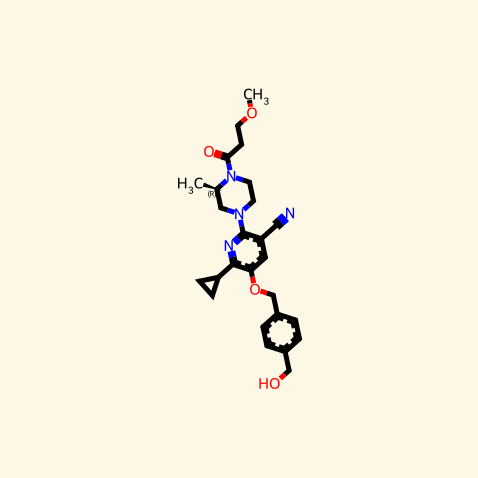 COCCC(=O)N1CCN(c2nc(C3CC3)c(OCc3ccc(CO)cc3)cc2C#N)C[C@H]1C